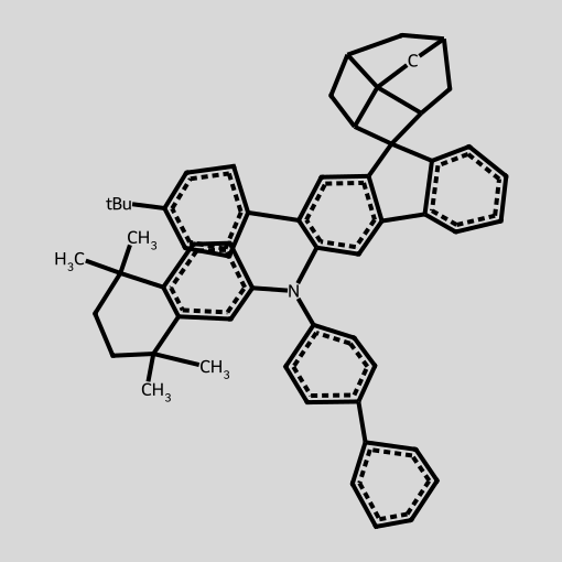 CC(C)(C)c1ccc(-c2cc3c(cc2N(c2ccc(-c4ccccc4)cc2)c2ccc4c(c2)C(C)(C)CCC4(C)C)-c2ccccc2C32C3CC4CC5CC2C53C4)cc1